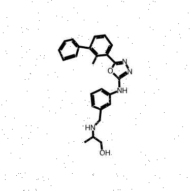 Cc1c(-c2ccccc2)cccc1-c1nnc(Nc2cccc(CNC(C)CO)c2)o1